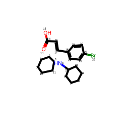 C1CCC(NC2CCCCC2)CC1.O=C(O)C=Cc1ccc(Br)cc1